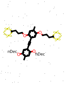 CCCCCCCCCCOc1cc(C#Cc2cc(OCCCC3SSSSS3)c(C)cc2OCCCC2SSSSS2)c(OCCCCCCCCCC)cc1C